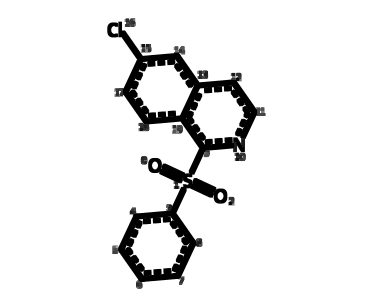 O=S(=O)(c1ccccc1)c1nccc2cc(Cl)ccc12